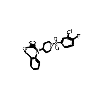 O=C1OCc2ccccc2N1C1CCN(S(=O)(=O)c2ccc(F)c(Cl)c2)CC1